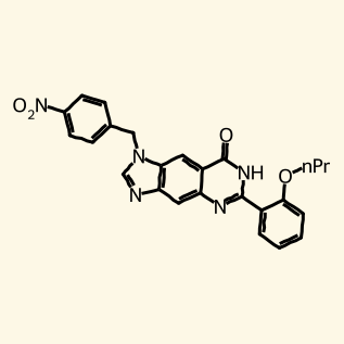 CCCOc1ccccc1-c1nc2cc3ncn(Cc4ccc([N+](=O)[O-])cc4)c3cc2c(=O)[nH]1